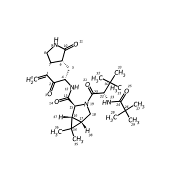 C=CC(=O)[C@H](C[C@@H]1CCNC1=O)NC(=O)[C@@H]1[C@@H]2[C@H](CN1C(=O)[C@@H](NC(=O)C(C)(C)C)C(C)(C)C)C2(C)C